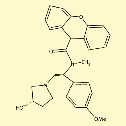 COc1ccc([C@@H](CN2CC[C@H](O)C2)N(C)C(=O)C2c3ccccc3Oc3ccccc32)cc1